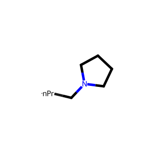 CC[CH]CN1CCCC1